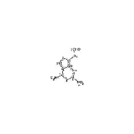 O=[C]Oc1c[nH]c2c([N+](=O)[O-])cc([N+](=O)[O-])cc12